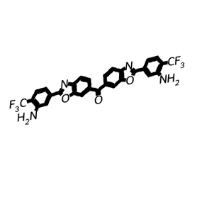 Nc1cc(-c2nc3ccc(C(=O)c4ccc5nc(-c6ccc(C(F)(F)F)c(N)c6)oc5c4)cc3o2)ccc1C(F)(F)F